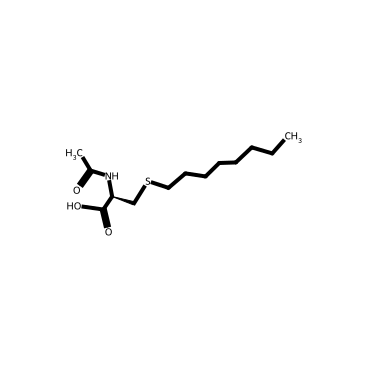 CCCCCCCCSC[C@H](NC(C)=O)C(=O)O